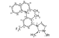 Cc1c(N2C=CN(C(C)C)[C@H]2C)cc(C(F)(F)F)cc1-[n+]1c(C)ccc2ccccc21